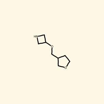 C1CC(COC2CNC2)CO1